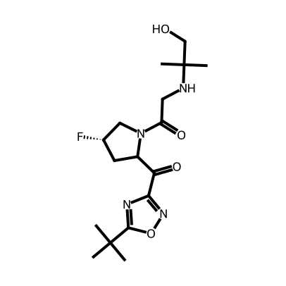 CC(C)(CO)NCC(=O)N1C[C@@H](F)CC1C(=O)c1noc(C(C)(C)C)n1